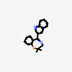 CC1(C)CN=C(c2cnc3ccccc3c2)c2ccccc2S1